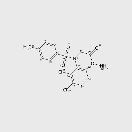 Cc1ccc(S(=O)(=O)N(CC(=O)ON)c2cccc(Cl)c2Cl)cc1